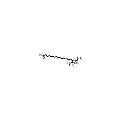 C=CC(C)OC(CCCCCCCCCCCCCCCC(=O)O)C(=O)NC